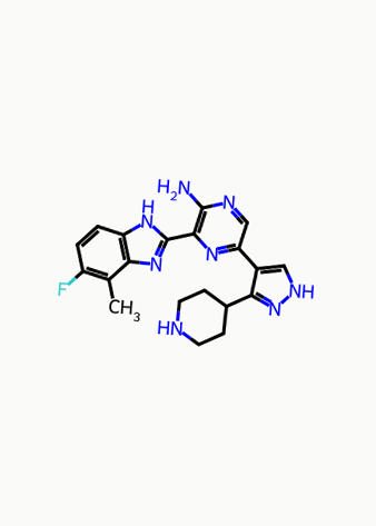 Cc1c(F)ccc2[nH]c(-c3nc(-c4c[nH]nc4C4CCNCC4)cnc3N)nc12